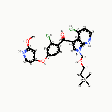 COc1cc(Oc2ccc(C(=O)c3cn(COCC[Si](C)(C)C)c4nccc(Cl)c34)c(Cl)c2)ccn1